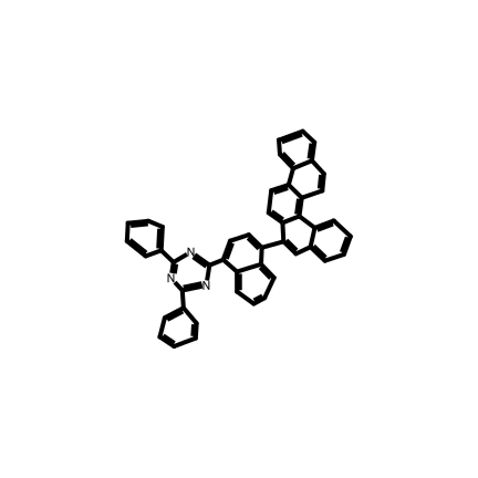 c1ccc(-c2nc(-c3ccccc3)nc(-c3ccc(-c4cc5ccccc5c5c4ccc4c6ccccc6ccc45)c4ccccc34)n2)cc1